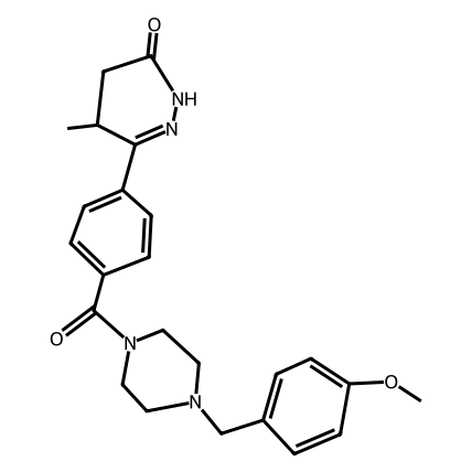 COc1ccc(CN2CCN(C(=O)c3ccc(C4=NNC(=O)CC4C)cc3)CC2)cc1